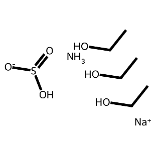 CCO.CCO.CCO.N.O=S([O-])O.[Na+]